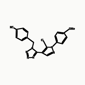 COc1ccc(-n2ncc(-c3nnnn3Cc3ccc(C#N)cc3)c2Cl)cc1